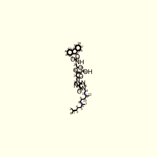 CC(C)=CCC/C(C)=C/CC/C(C)=C/Cn1cnc2c(ncn2[C@H]2C[C@@H](OC(=O)CNC(=O)OC3c4ccccc4-c4ccccc43)[C@@H](CO)O2)c1=O